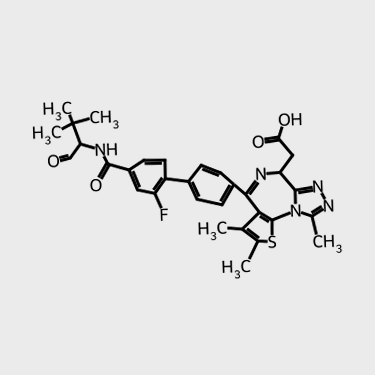 Cc1sc2c(c1C)C(c1ccc(-c3ccc(C(=O)NC(C=O)C(C)(C)C)cc3F)cc1)=NC(CC(=O)O)c1nnc(C)n1-2